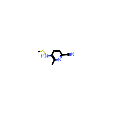 CSNc1ccc(C#N)nc1C